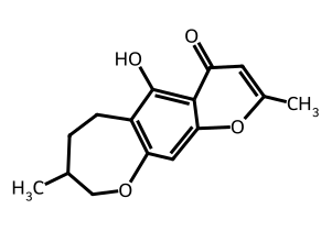 Cc1cc(=O)c2c(O)c3c(cc2o1)OCC(C)CC3